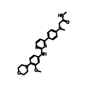 CNC(=O)CN(C)c1ccc(-c2ccnc(Nc3ccc(N4CCOCC4)c(OC)c3)n2)cc1